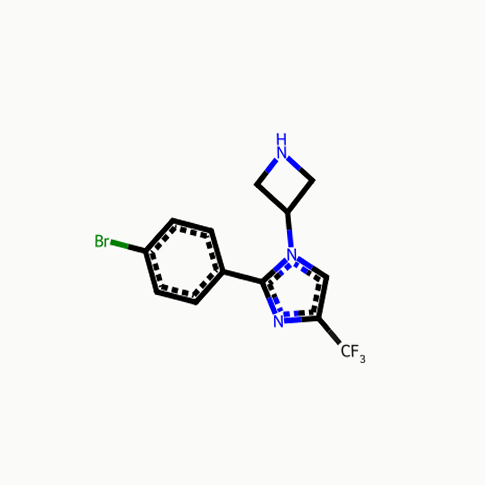 FC(F)(F)c1cn(C2CNC2)c(-c2ccc(Br)cc2)n1